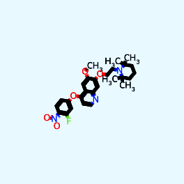 COc1cc2c(Oc3ccc([N+](=O)[O-])c(F)c3)ccnc2cc1OCCN1C(C)(C)CCCC1(C)C